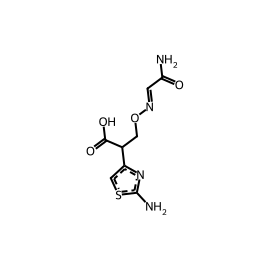 NC(=O)C=NOCC(C(=O)O)c1csc(N)n1